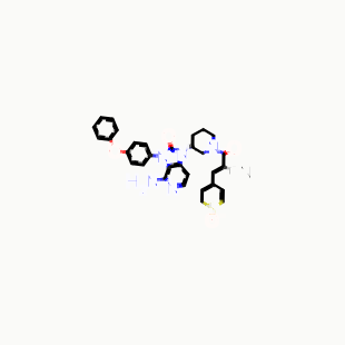 N#CC(=CC1=CC[S@@+]([O-])C=C1)C(=O)N1CCC[C@@H](n2c(=O)n(-c3ccc(Oc4ccccc4)cc3)c3c(N)nccc32)C1